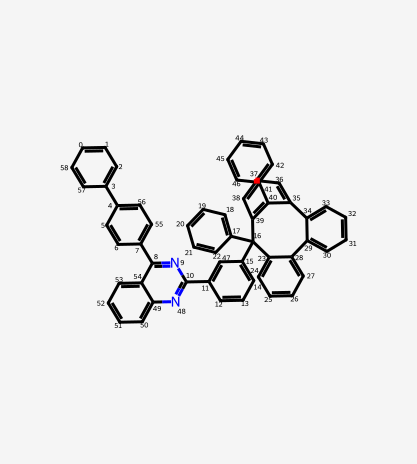 c1ccc(-c2ccc(-c3nc(-c4cccc(C5(c6ccccc6)c6ccccc6-c6ccccc6-c6cccc5c6-c5ccccc5)c4)nc4ccccc34)cc2)cc1